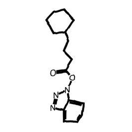 O=C(CCCC1CCCCC1)On1nnc2ccccc21